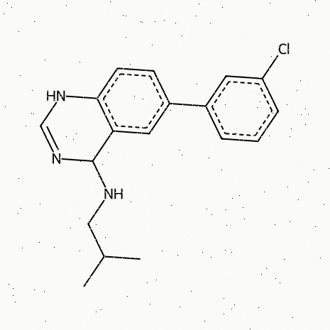 CC(C)CNC1N=CNc2ccc(-c3cccc(Cl)c3)cc21